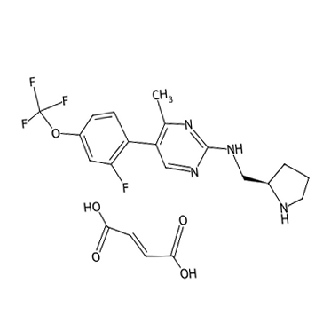 Cc1nc(NC[C@H]2CCCN2)ncc1-c1ccc(OC(F)(F)F)cc1F.O=C(O)/C=C/C(=O)O